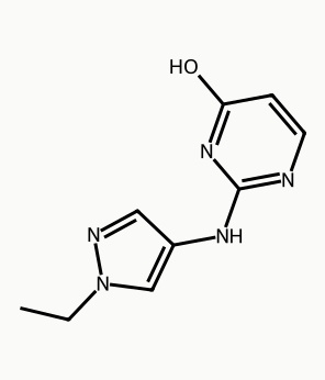 CCn1cc(Nc2nccc(O)n2)cn1